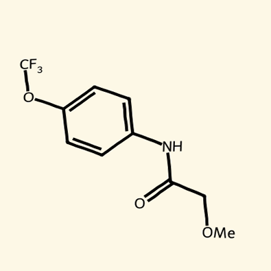 COCC(=O)Nc1ccc(OC(F)(F)F)cc1